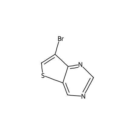 Brc1csc2cncnc12